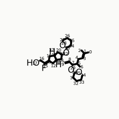 CC(C)=CCC(C)[C@H](/C=C/[C@@H]1[C@H]2CC(=C(F)CO)C[C@H]2C[C@H]1OC1CCCCO1)OC1CCCCO1